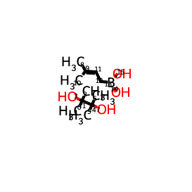 CC(C)(O)C(C)(C)O.CC(C)=CCB(O)O